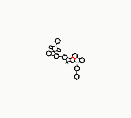 CC1(C)c2cc(-c3ccc4c(c3)C3(c5ccccc5-4)c4ccccc4N(c4ccccc4)c4ccccc43)ccc2-c2ccc(N(c3ccc(-c4ccccc4)cc3)c3ccccc3-c3ccccc3)cc21